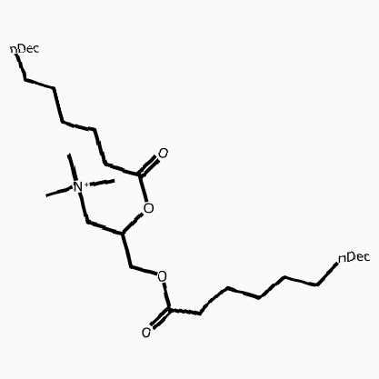 CCCCCCCCCCCCCCCC(=O)OCC(C[N+](C)(C)C)OC(=O)CCCCCCCCCCCCCCC